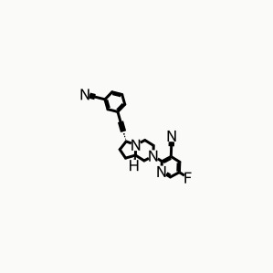 N#Cc1cccc(C#C[C@H]2CC[C@H]3CN(c4ncc(F)cc4C#N)CCN32)c1